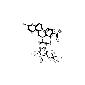 COc1ccc2cc(Br)ccc2c1CN1C(=O)[C@@H](NC[C@H](C)N(C)C(=O)OC(C)(C)C)COc2c(C(=O)O)cccc21